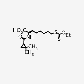 CCOC(=S)SCCCCC/C=C(\NC(=O)C1CC1(C)C)C(=O)O